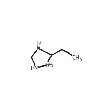 CCC1NCNN1